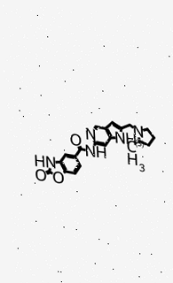 C[C@H]1CCCN1Cc1cc2cnc(NC(=O)c3ccc4oc(=O)[nH]c4c3)cc2[nH]1